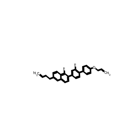 C=CCCc1ccc2c(F)c(-c3ccc(-c4ccc(OCC=C)cc4)c(F)c3)ccc2c1